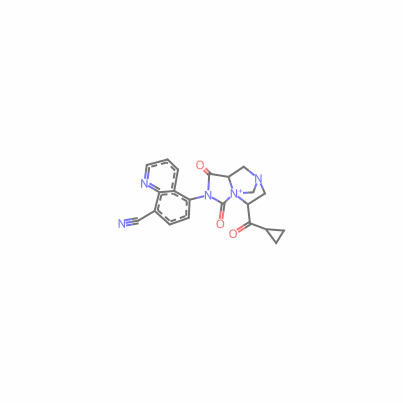 N#Cc1ccc(N2C(=O)C3CN4CC(C(=O)C5CC5)[N+]3(C4)C2=O)c2cccnc12